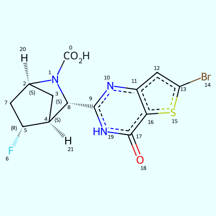 O=C(O)N1[C@H]2C[C@H]([C@H](F)C2)[C@H]1c1nc2cc(Br)sc2c(=O)[nH]1